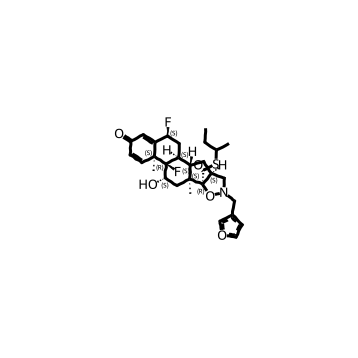 CCC(C)SC(=O)[C@@]12ON(Cc3ccoc3)C[C@@H]1C[C@H]1[C@@H]3C[C@H](F)C4=CC(=O)C=C[C@]4(C)[C@@]3(F)[C@@H](O)C[C@@]12C